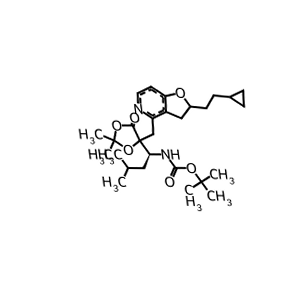 CC(C)C[C@H](NC(=O)OC(C)(C)C)C1(Cc2nccc3c2CC(CCC2CC2)O3)OC(C)(C)OC1=O